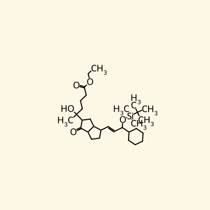 CCOC(=O)CCCC(C)(O)C1CC2C(C=CC(O[Si](C)(C)C(C)(C)C)C3CCCCC3)CCC2C1=O